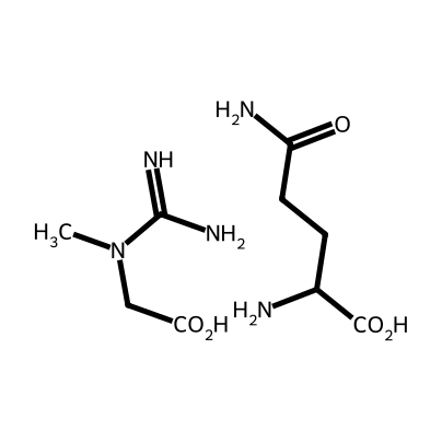 CN(CC(=O)O)C(=N)N.NC(=O)CCC(N)C(=O)O